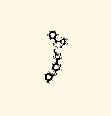 Cn1nnnc1/C(=N\OCc1nnc(-c2ccc(Oc3cccc(F)c3)cn2)o1)c1ccccc1